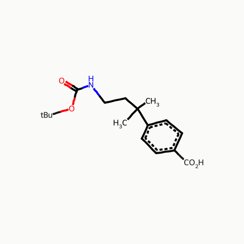 CC(C)(C)OC(=O)NCCC(C)(C)c1ccc(C(=O)O)cc1